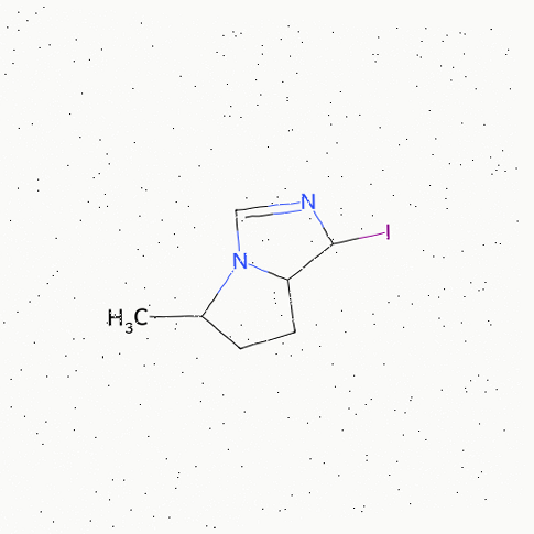 CC1CCC2C(I)N=CN12